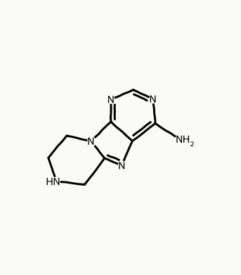 Nc1ncnc2c1nc1n2CCNC1